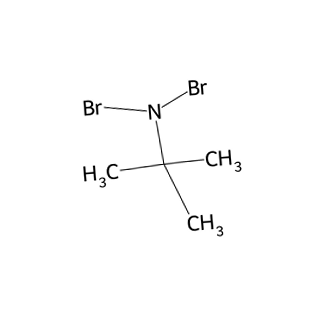 CC(C)(C)N(Br)Br